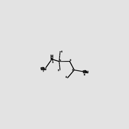 CC(CC(C)(C)NC(C)(C)C)C(C)(C)C